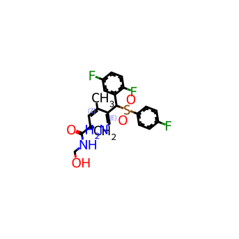 C=C(/C=C(C)\C(=C/N)C(c1cc(F)ccc1F)S(=O)(=O)c1ccc(F)cc1)C(=O)NCO